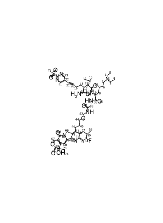 CCN(CC)CCCC[C@H](NC(=O)[C@@H](C(C)C)C(CCC#Cc1cnc(S(C)(=O)=O)nc1)C(N)=O)C(=O)NCC(=O)NCOCCCc1c2c(nc3cc(F)c(C)cc13)-c1cc3c(c(=O)n1C2)COC(=O)[C@]3(O)CC